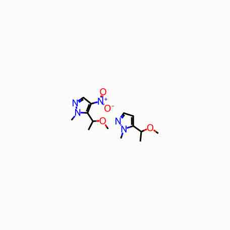 COC(C)c1c([N+](=O)[O-])cnn1C.COC(C)c1ccnn1C